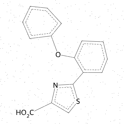 O=C(O)c1csc(-c2ccccc2Oc2ccccc2)n1